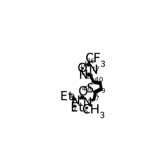 CCN(CC)C(=O)N(C)Cc1ccc(-c2noc(C(F)(F)F)n2)s1